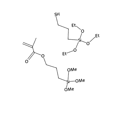 C=C(C)C(=O)OCCC[Si](OC)(OC)OC.CCO[Si](CCCS)(OCC)OCC